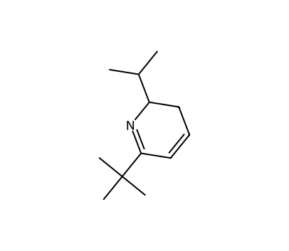 CC(C)C1CC=CC(C(C)(C)C)=N1